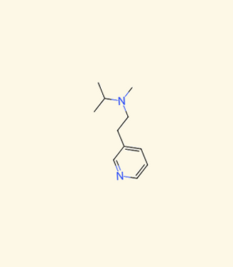 CC(C)N(C)CCc1cccnc1